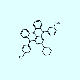 CSc1cccc(N2c3ccccc3B3c4ccccc4N(c4ccc(C(F)(F)F)cc4)c4cc(C5CCCCC5)cc2c43)c1